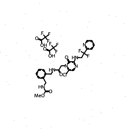 COC(=O)NCc1ccccc1CNC(=O)Cn1c(Cl)cnc(NCC(F)(F)c2ccccn2)c1=O.O=C(O)C(F)(F)F.O=C(O)C(F)(F)F